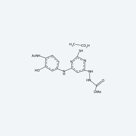 CC(=O)O.COC(=O)NNc1cc(Nc2ccc(NC(C)=O)c(O)c2)nc(S)n1